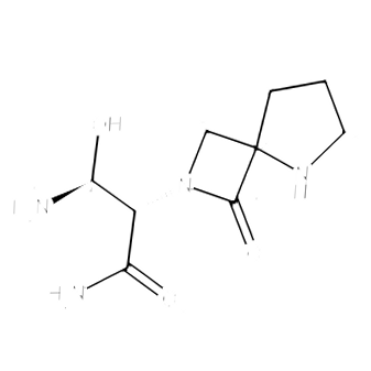 NC(=O)[C@H]([C@@H](N)O)N1CC2(CCCN2)C1=O